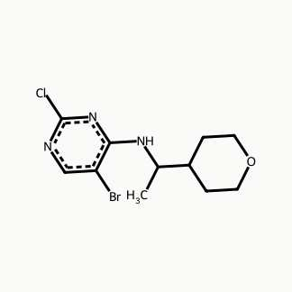 CC(Nc1nc(Cl)ncc1Br)C1CCOCC1